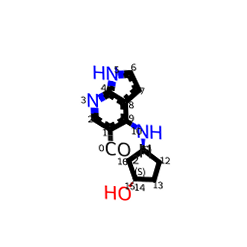 O=C(O)c1cnc2[nH]ccc2c1N[C@H]1CC[C@H](O)C1